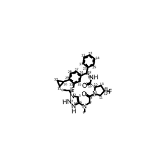 CCN1C=C(N(C)CC(=O)N2C[C@H](F)C[C@H]2C(=O)N[C@@H](c2ccccc2)c2ccc(C3CC3)c(F)c2)NN1